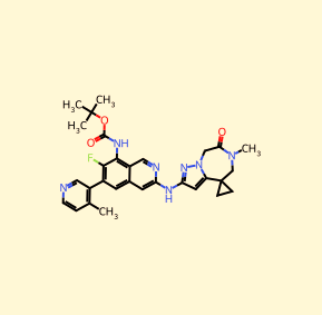 Cc1ccncc1-c1cc2cc(Nc3cc4n(n3)CC(=O)N(C)CC43CC3)ncc2c(NC(=O)OC(C)(C)C)c1F